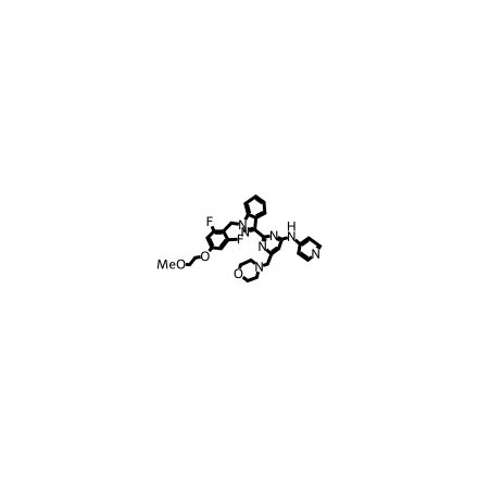 COCCOc1cc(F)c(Cn2nc(-c3nc(CN4CCOCC4)cc(Nc4ccncc4)n3)c3ccccc32)c(F)c1